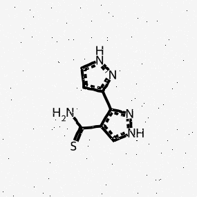 NC(=S)c1c[nH]nc1-c1cc[nH]n1